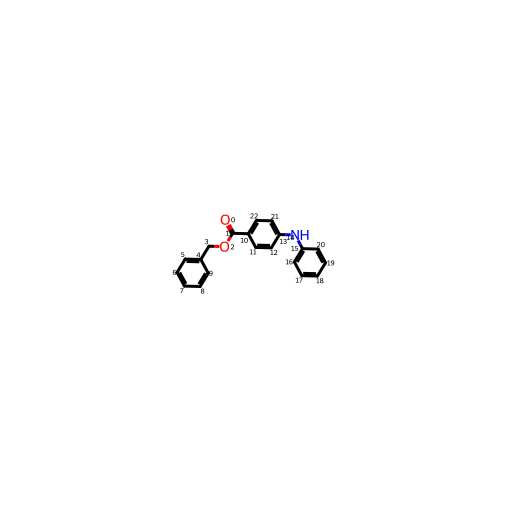 O=C(OCc1ccccc1)c1ccc(Nc2ccccc2)cc1